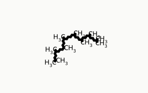 CC(C)CCCC(C)CCCC(C)CCCC(C)CCCCC(C)CCCC(C)CCCC(C)CCCC(C)C